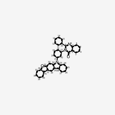 O=c1c2ccccc2nc(-c2ccccc2)n1-c1cccc(-n2c3ccccc3c3cc4c(cc32)oc2ccccc24)c1